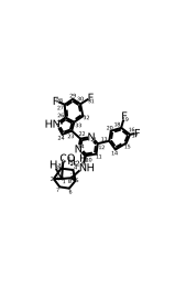 O=C(O)[C@H]1C2CCC(CC2)[C@@H]1Nc1cc(-c2ccc(F)c(F)c2)nc(-c2c[nH]c3c(F)cc(F)cc23)n1